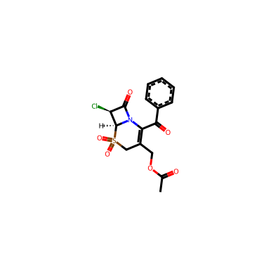 CC(=O)OCC1=C(C(=O)c2ccccc2)N2C(=O)[C@H](Cl)[C@@H]2S(=O)(=O)C1